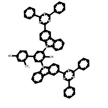 N#Cc1ccc(-c2cc(-n3c4ccccc4c4cc(-c5nc(-c6ccccc6)nc(-c6ccccc6)n5)ccc43)c(C#N)c(-n3c4ccccc4c4cc(-c5nc(-c6ccccc6)nc(-c6ccccc6)n5)ccc43)c2)c(C(F)(F)F)c1